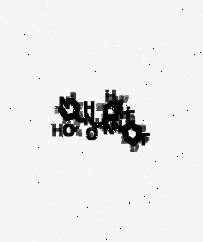 O=C(N[C@H](CO)c1ccncc1)c1nn(-c2ccc(F)cc2F)c2c1C[C@@H]1C[C@H]21